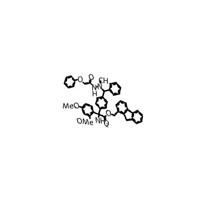 COc1ccc(C(N)(C(=O)OCc2cccc3c2Cc2ccccc2-3)c2ccc(C(c3ccccc3)N(C)NC(=O)COc3ccccc3)cc2)c(OC)c1